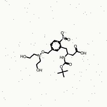 CC(C)(C)OC(=O)N[C@H](CC(=O)O)Cc1cc(CON(CCO)CCO)ccc1[N+](=O)[O-]